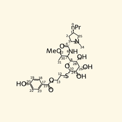 CCC[C@@H]1C[C@@H](C(=O)N[C@@H]([C@H]2O[C@H](SCCOC(=O)c3ccc(O)cc3)[C@H](O)[C@@H](O)[C@H]2O)[C@@H](C)OC)N(C)C1